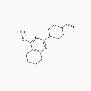 COc1nc(N2CCN(C=O)CC2)nc2c1CCCC2